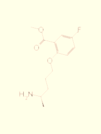 COC(=O)c1cc(F)ccc1OCCC[C@@H](C)N